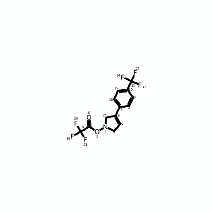 O=C(ON1CC=C(c2ccc(C(F)(F)F)cc2)C1)C(F)(F)F